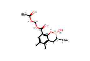 CC(=O)N[C@H]1Cc2c(C)c(C)cc(C(=O)OCOC(=O)C(C)(C)C)c2OB1O